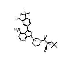 CC(C)(C)/C=C(\C#N)C(=O)N1CCC[C@@H](n2nc(-c3ccc(C(F)(F)F)c(O)c3)c3c(N)ncnc32)C1